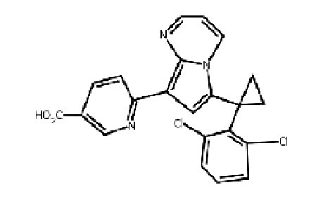 O=C(O)c1ccc(-c2cc(C3(c4c(Cl)cccc4Cl)CC3)n3cccnc23)nc1